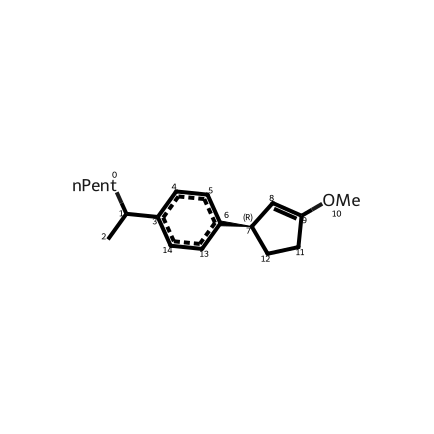 CCCCCC(C)c1ccc([C@H]2C=C(OC)CC2)cc1